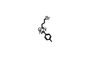 Cc1ccc(-c2noc(CCCBr)n2)cc1